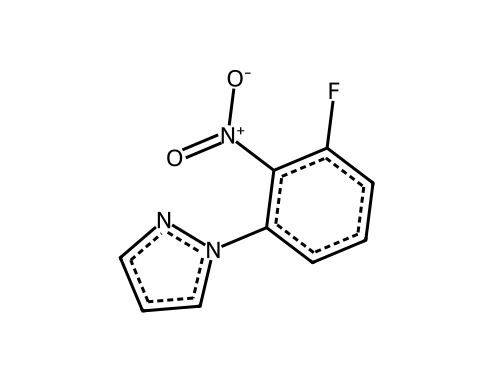 O=[N+]([O-])c1c(F)cccc1-n1cccn1